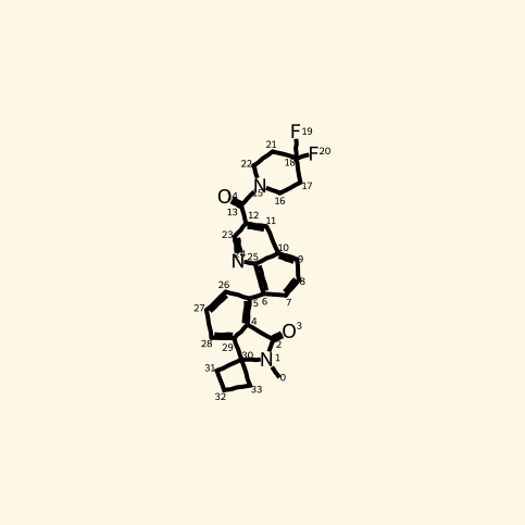 CN1C(=O)c2c(-c3cccc4cc(C(=O)N5CCC(F)(F)CC5)cnc34)cccc2C12CCC2